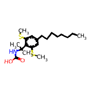 CCCCCCCCc1cc(SC)c(C(C)(C)NC(=O)O)c(SC)c1